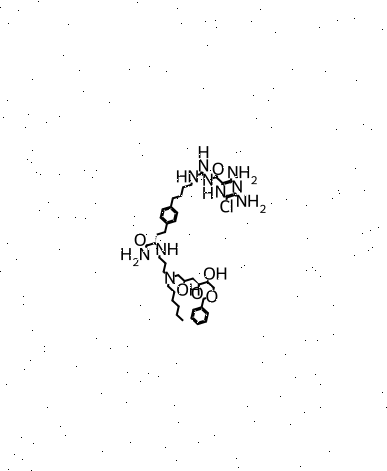 CCCCCCN(CCCN[C@@H](CCc1ccc(CCCCNC(=N)NC(=O)c2nc(Cl)c(N)nc2N)cc1)C(N)=O)C[C@H](O)C[C@@H]1OC(c2ccccc2)OC[C@H]1O